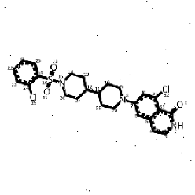 O=c1[nH]ccc2cc(N3CCC(C4CCN(S(=O)(=O)c5ccccc5Cl)CC4)CC3)cc(Cl)c12